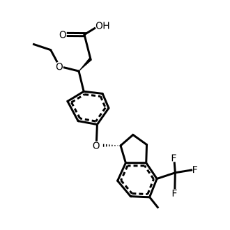 CCO[C@@H](CC(=O)O)c1ccc(O[C@@H]2CCc3c2ccc(C)c3C(F)(F)F)cc1